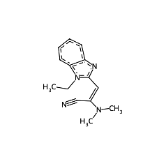 CCn1c(/C=C(\C#N)N(C)C)nc2ccccc21